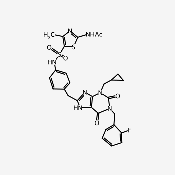 CC(=O)Nc1nc(C)c(S(=O)(=O)Nc2ccc(Cc3nc4c([nH]3)c(=O)n(Cc3ccccc3F)c(=O)n4CC3CC3)cc2)s1